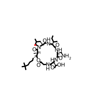 CCC(C)[C@@H]1NC(=O)[C@H](CC(C)C)N(C)C(=O)[C@H](C)[C@@H](CCCCC(C)(C)C)OC(=O)CNC(=O)[C@H](C(C)O)NC(=O)[C@H](CN)NC1=O